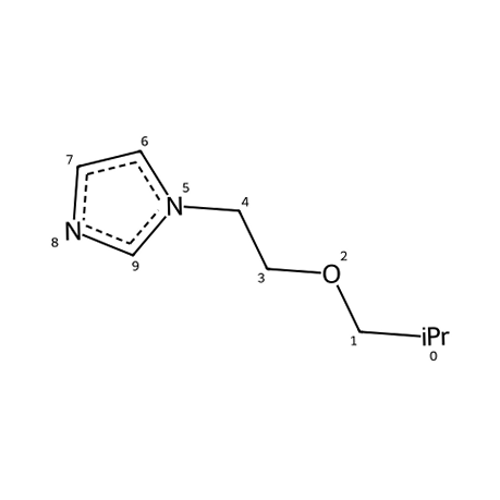 CC(C)COCCn1ccnc1